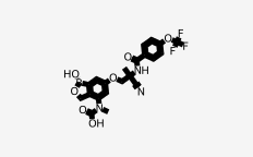 CN(C(=O)O)c1cc(OCC(C)(C#N)NC(=O)c2ccc(OC(F)(F)F)cc2)cc2c1COB2O